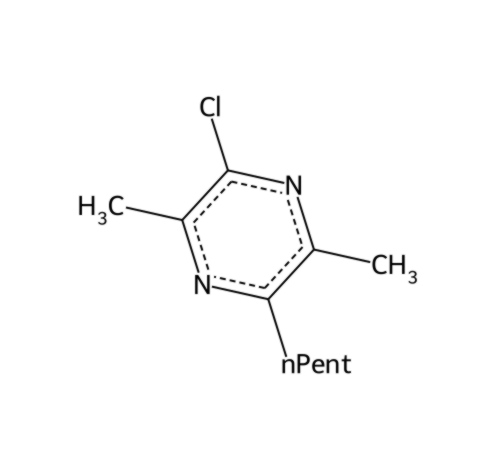 CCCCCc1nc(C)c(Cl)nc1C